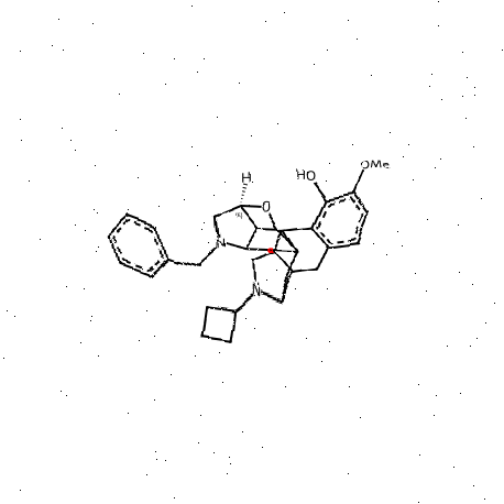 COc1ccc2c(c1O)C13C4CN(C5CCC5)C(C4C2)C12CCC1C3[C@@H](CN1Cc1ccccc1)O2